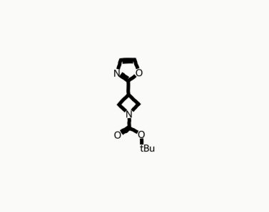 CC(C)(C)OC(=O)N1CC(c2ncco2)C1